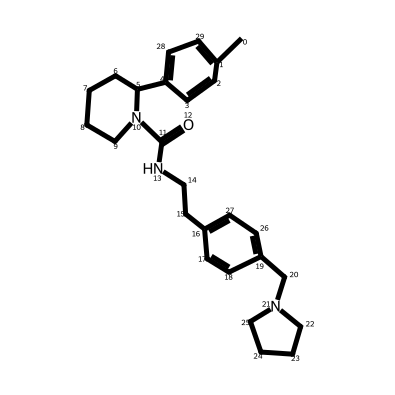 Cc1ccc(C2CCCCN2C(=O)NCCc2ccc(CN3CCCC3)cc2)cc1